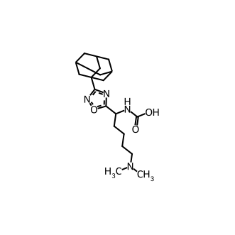 CN(C)CCCCC(NC(=O)O)c1nc(C23CC4CC(CC(C4)C2)C3)no1